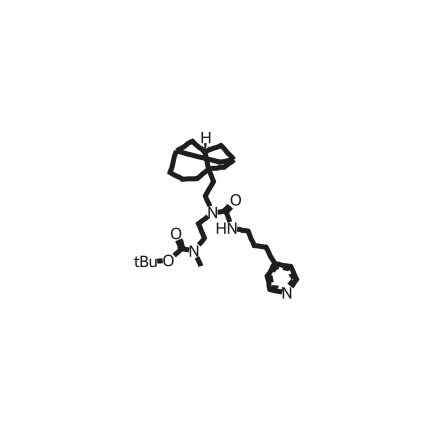 CN(CCN(CCC12CCCC3CC(C[C@@H]1C3)C2)C(=O)NCCCc1ccncc1)C(=O)OC(C)(C)C